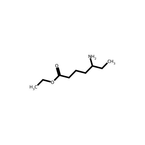 CCOC(=O)CCCC(N)CC